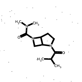 CC(C)C(=O)N1CCC2C1CN2C(=O)N(C)C